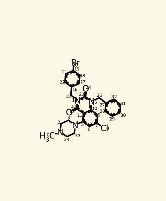 CN1CCN(c2cc(Cl)cc3c2c(=O)n(Cc2ccc(Br)cc2)c(=O)n3Cc2ccccc2)CC1